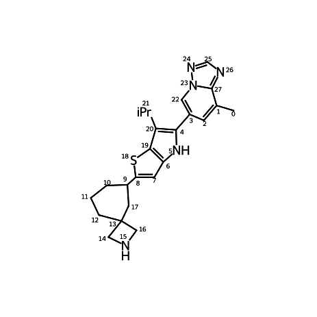 Cc1cc(-c2[nH]c3cc(C4CCCC5(CNC5)C4)sc3c2C(C)C)cn2ncnc12